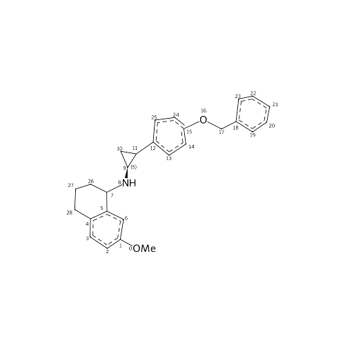 COc1ccc2c(c1)C(N[C@H]1CC1c1ccc(OCc3ccccc3)cc1)CCC2